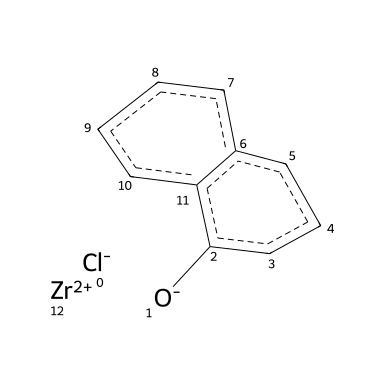 [Cl-].[O-]c1cccc2ccccc12.[Zr+2]